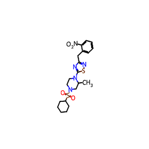 CC1CN(S(=O)(=O)C2CCCCC2)CCN1c1nc(Cc2ccccc2[N+](=O)[O-])ns1